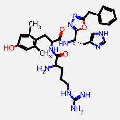 Cc1cc(O)cc(C)c1CC(NC(=O)C(N)CCCNC(=N)N)C(=O)N[C@@H](Cc1c[nH]cn1)c1nnc(Cc2ccccc2)o1